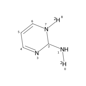 [2H]NC1N=CC=CN1[2H]